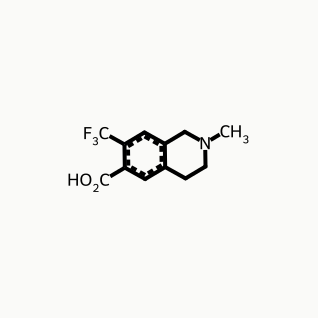 CN1CCc2cc(C(=O)O)c(C(F)(F)F)cc2C1